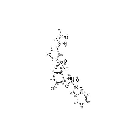 Cc1nc(-c2cccc(S(=O)(=O)Nc3ccc(Cl)cc3NS(=O)(=O)c3cc4ccccc4o3)c2)no1